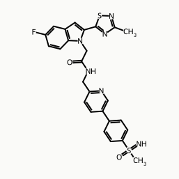 Cc1nsc(-c2cc3cc(F)ccc3n2CC(=O)NCc2ccc(-c3ccc(S(C)(=N)=O)cc3)cn2)n1